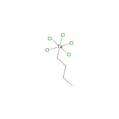 [CH2]CC[CH2][Ta]([Cl])([Cl])([Cl])([Cl])[Cl]